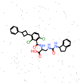 O=C(NCC(NC(=O)c1c(Cl)ccc(C2CC(c3ccccc3)C2)c1Cl)C(=O)O)NC1CCc2ccccc21